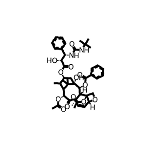 CC(=O)O[C@H]1C(=O)[C@]2(C)C=C[C@H]3OC[C@@]3(OC(C)=O)[C@H]2[C@H](OC(=O)c2ccccc2)[C@]2(O)C[C@H](OC(=O)[C@H](O)[C@@H](NC(=O)NC(C)(C)C)c3ccccc3)C(C)C1C2(C)C